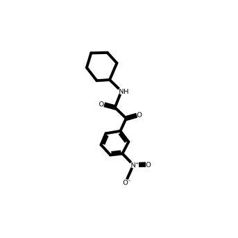 O=C(NC1CCCCC1)C(=O)c1cccc([N+](=O)[O-])c1